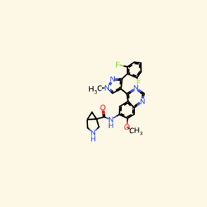 COc1cc2ncnc(-c3cn(C)nc3-c3c(F)cccc3F)c2cc1NC(=O)C12CNCC1C2